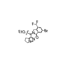 CCOC(=O)[C@@H](c1ncn2c1CCC2)N1Cc2c(cc(Br)cc2C(F)F)C1=O